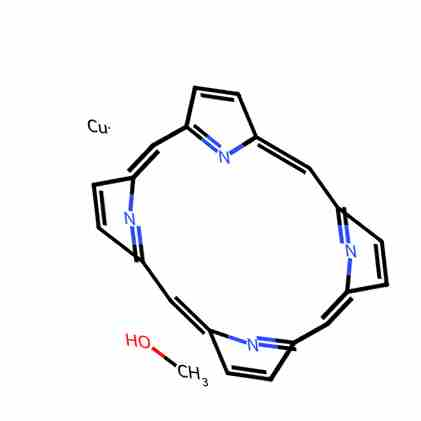 C1=CC2=NC1=CC1=NC(=CC3=NC(=CC4=NC(=C2)C=C4)C=C3)C=C1.CO.[Cu]